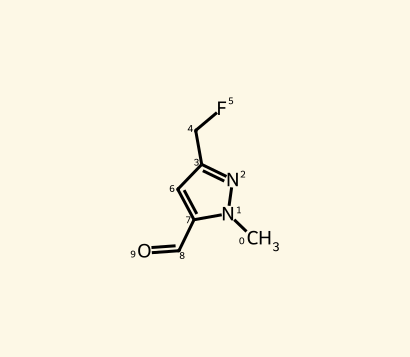 Cn1nc(CF)cc1C=O